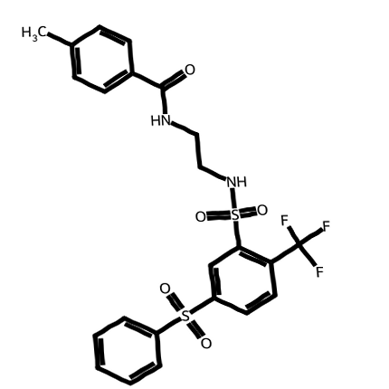 Cc1ccc(C(=O)NCCNS(=O)(=O)c2cc(S(=O)(=O)c3ccccc3)ccc2C(F)(F)F)cc1